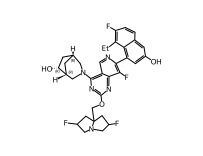 CCc1c(F)ccc2cc(O)cc(-c3ncc4c(N5C[C@@H]6C[C@H](C5)[C@H](O)C6)nc(OCC56CC(F)CN5CC(F)C6)nc4c3F)c12